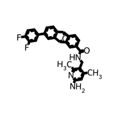 Cc1cc(N)nc(C)c1CNC(=O)c1ccc2c(c1)C1OC2c2ccc(-c3ccc(F)c(F)c3)cc21